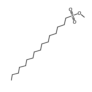 CCCCCCCCCCCCCCCCS(=O)(=O)OC